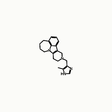 Cc1[nH]cnc1CN1CCc2c(c3cccc4c3n2CCCC4)C1